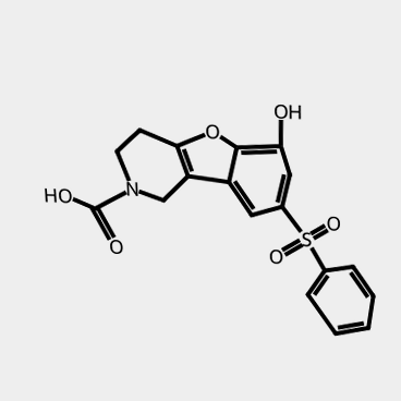 O=C(O)N1CCc2oc3c(O)cc(S(=O)(=O)c4ccccc4)cc3c2C1